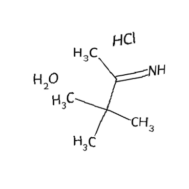 CC(=N)C(C)(C)C.Cl.O